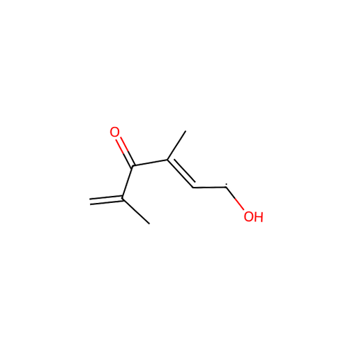 C=C(C)C(=O)C(C)=C[CH]O